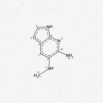 CNc1cc2cc[nH]c2nc1N